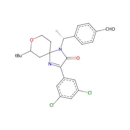 C[C@H](c1ccc(C=O)cc1)N1C(=O)C(c2cc(Cl)cc(Cl)c2)=NC12CCOC(C(C)(C)C)C2